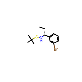 CC[C@@H](NSC(C)(C)C)c1cccc(Br)c1